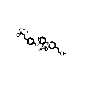 CCCC1CCN(c2ccnc(Oc3ccc(CCC(C)=O)cc3)c2[N+](=O)[O-])CC1